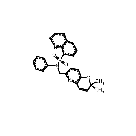 CC1(C)C=Cc2nc(CN(c3ccccc3)S(=O)(=O)c3cccc4cccnc34)ccc2O1